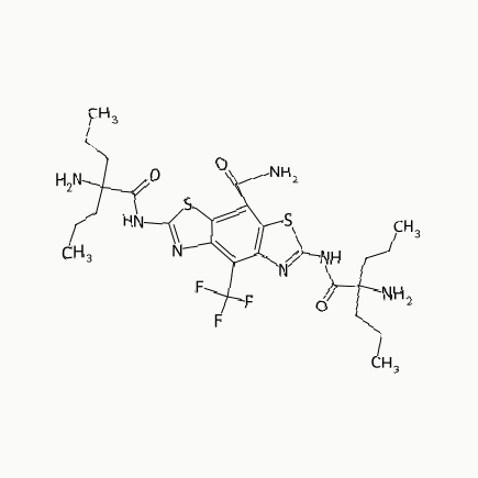 CCCC(N)(CCC)C(=O)Nc1nc2c(C(F)(F)F)c3nc(NC(=O)C(N)(CCC)CCC)sc3c(C(N)=O)c2s1